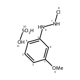 COc1cccc(NNCl)c1.O=S(=O)(O)O